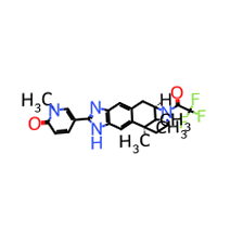 Cn1cc(-c2nc3cc4c(cc3[nH]2)[C@]2(C)CCN(C(=O)C(F)(F)F)[C@H](C4)C2(C)C)ccc1=O